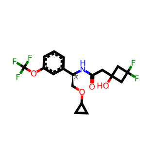 O=C(CC1(O)CC(F)(F)C1)N[C@@H](COC1CC1)c1cccc(OC(F)(F)F)c1